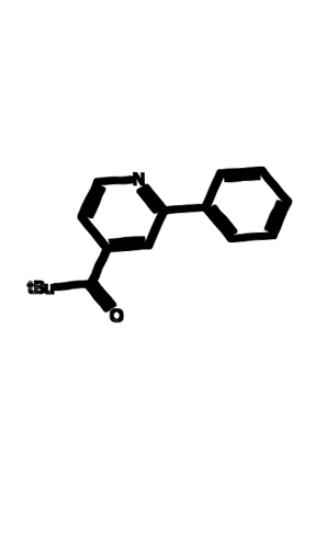 CC(C)(C)C(=O)c1ccnc(-c2ccccc2)c1